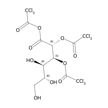 O=C(OC(=O)C(Cl)(Cl)Cl)[C@H](OC(=O)C(Cl)(Cl)Cl)[C@@H](OC(=O)C(Cl)(Cl)Cl)[C@H](O)[C@H](O)CO